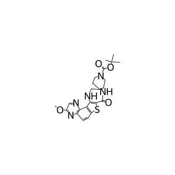 COc1cnc2c(ccc3sc4c(c32)NCC2(CCN(C(=O)OC(C)(C)C)CC2)NC4=O)n1